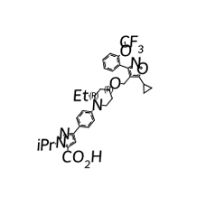 CC[C@@H]1C[C@H](OCc2c(-c3ccccc3OC(F)(F)F)noc2C2CC2)CCN1c1ccc(-c2cc(C(=O)O)n(C(C)C)n2)cc1